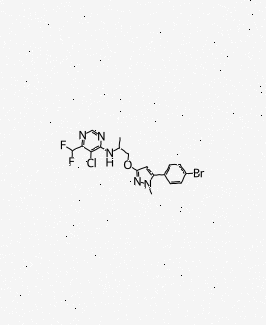 CC(COc1cc(-c2ccc(Br)cc2)n(C)n1)Nc1ncnc(C(F)F)c1Cl